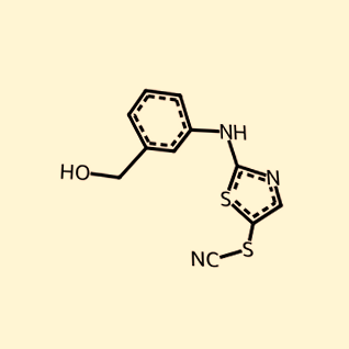 N#CSc1cnc(Nc2cccc(CO)c2)s1